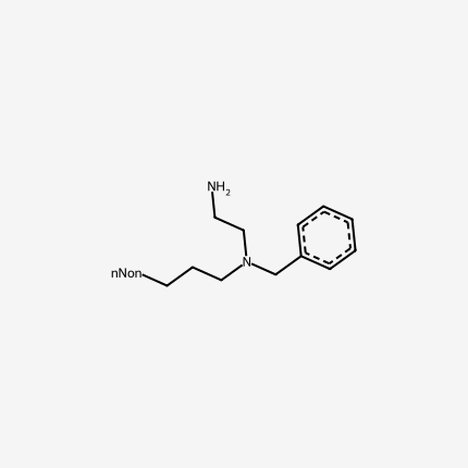 CCCCCCCCCCCCN(CCN)Cc1ccccc1